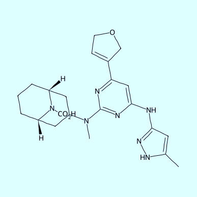 Cc1cc(Nc2cc(C3=CCOC3)nc(N(C)C3C[C@H]4CCC[C@@H](C3)N4C(=O)O)n2)n[nH]1